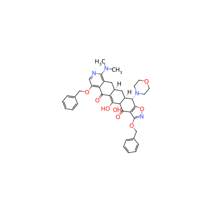 CN(C)c1ncc(OCc2ccccc2)c2c1C[C@H]1C[C@H]3[C@H](N4CCOCC4)c4onc(OCc5ccccc5)c4C(=O)[C@@]3(O)C(O)=C1C2=O